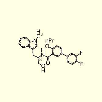 CCCOc1ccc(-c2ccc(F)c(F)c2)cc1C(=O)N[C@@H](CO)Cc1cn(C)c2ccccc12